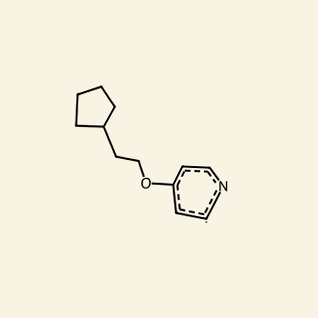 [c]1cc(OCCC2CCCC2)ccn1